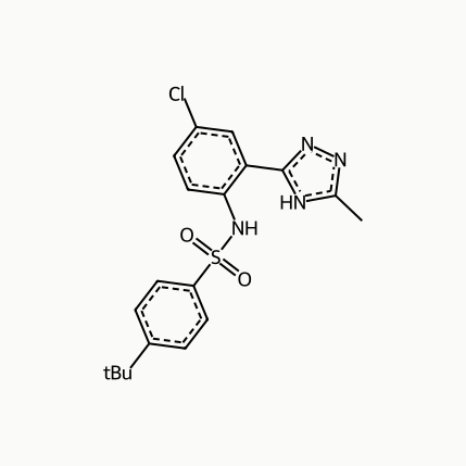 Cc1nnc(-c2cc(Cl)ccc2NS(=O)(=O)c2ccc(C(C)(C)C)cc2)[nH]1